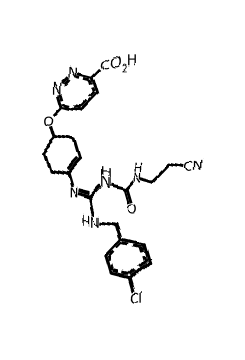 N#CCCNC(=O)N/C(=N\C1=CCC(Oc2ccc(C(=O)O)nn2)CC1)NCc1ccc(Cl)cc1